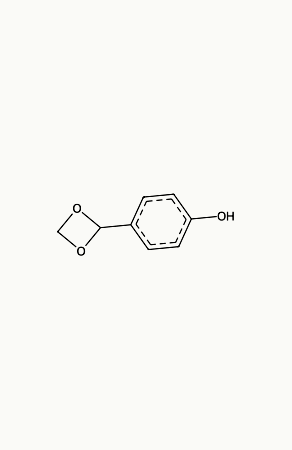 Oc1ccc(C2OCO2)cc1